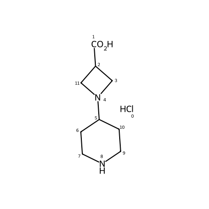 Cl.O=C(O)C1CN(C2CCNCC2)C1